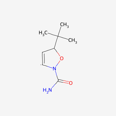 CC(C)(C)C1C=[C]N(C(N)=O)O1